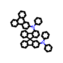 c1ccc(N(c2ccccc2)c2ccc3c(c2)C2(c4ccccc4-3)c3ccccc3-c3c(N(c4ccccc4)c4ccc5c6ccccc6c6ccccc6c5c4)cccc32)cc1